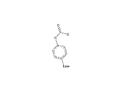 CNc1ccc(OC(=O)Cl)cc1